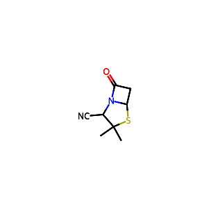 CC1(C)SC2CC(=O)N2C1C#N